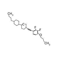 CCCCOc1ccc(C#CC2CCC(C3CCC(CCCC)CC3)CC2)c(F)c1F